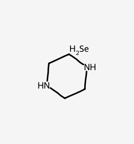 C1CNCCN1.[SeH2]